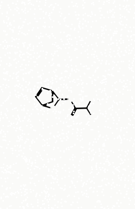 CC(C)C(=O)OC1OC2C=CC1C2